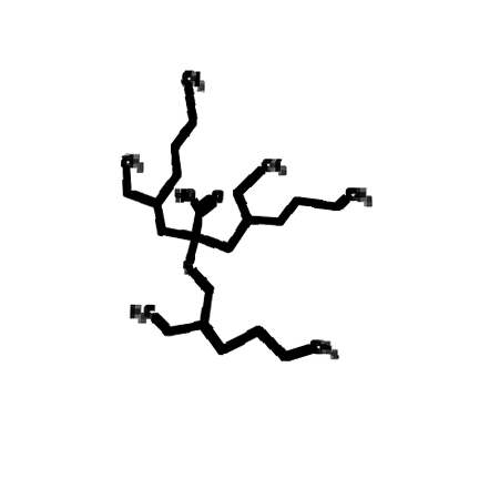 CCCCC(CC)CSC(CC(CC)CCCC)(CC(CC)CCCC)C(=O)O